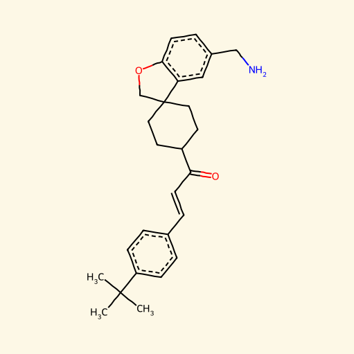 CC(C)(C)c1ccc(/C=C/C(=O)C2CCC3(CC2)COc2ccc(CN)cc23)cc1